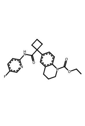 CCOC(=O)N1CCCc2cc(C3(C(=O)Nc4ccc(F)cn4)CCC3)ccc21